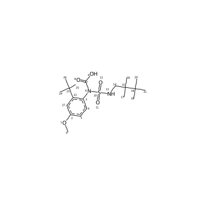 COc1ccc(N(C(=O)O)S(=O)(=O)NCC(C)(C)C(C)(C)C)c(C(C)(C)C)c1